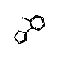 Fc1ccccc1C1=C=CCC1